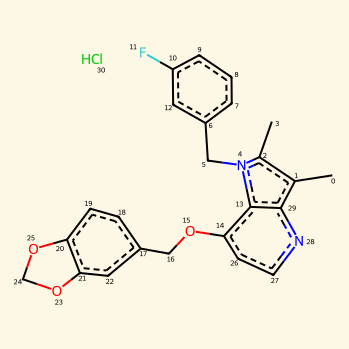 Cc1c(C)n(Cc2cccc(F)c2)c2c(OCc3ccc4c(c3)OCO4)ccnc12.Cl